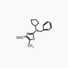 Cc1sc(N(Cc2ccccc2)C2CCCC2)nc1C=O